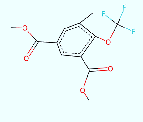 COC(=O)c1cc(C)c(OC(F)(F)F)c(C(=O)OC)c1